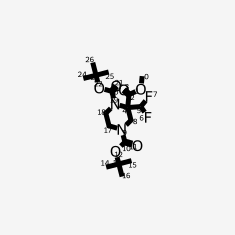 COC(=O)C1(C(F)F)CN(C(=O)OC(C)(C)C)CCN1C(=O)OC(C)(C)C